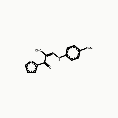 COc1ccc(NN=C(C=O)C(=O)c2cccs2)cc1